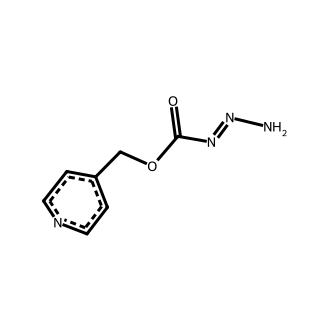 NN=NC(=O)OCc1ccncc1